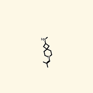 CNC1CC2(CCN(C=C(C)C)CC2)C1